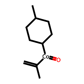 C=[C](C)[Co](=[O])[CH]1CCC(C)CC1